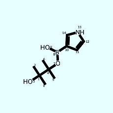 CC(C)(O)C(C)(C)OB(O)c1cc[nH]c1